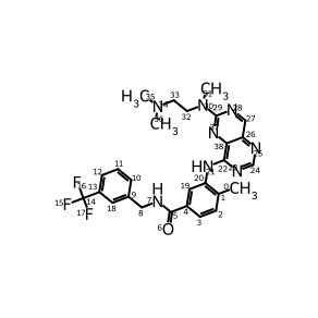 Cc1ccc(C(=O)NCc2cccc(C(F)(F)F)c2)cc1Nc1ncnc2cnc(N(C)CCN(C)C)nc12